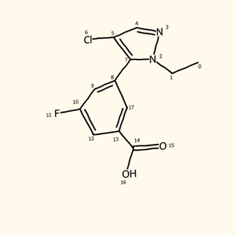 CCn1ncc(Cl)c1-c1cc(F)cc(C(=O)O)c1